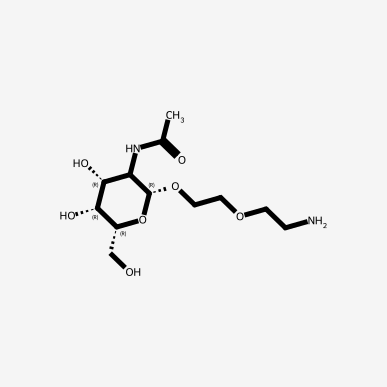 CC(=O)NC1[C@H](OCCOCCN)O[C@H](CO)[C@H](O)[C@@H]1O